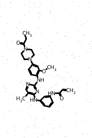 C=CC(=O)Nc1cccc(Nc2nc(Nc3ccc(N4CCN(C(=O)CC)CC4)cc3OC)ncc2C)c1